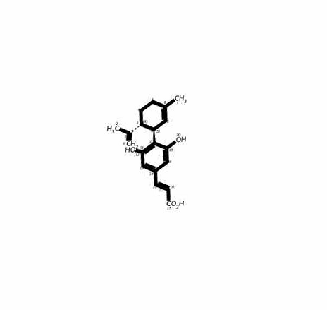 C=C(C)[C@@H]1CCC(C)=C[C@H]1c1c(O)cc(/C=C/C(=O)O)cc1O